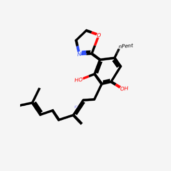 CCCCCc1cc(O)c(C/C=C(\C)CCC=C(C)C)c(O)c1C1=NCCO1